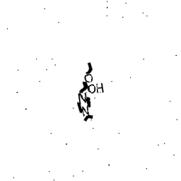 CCCOC[C@@H](O)CN1CCN(C(C)C)CC1